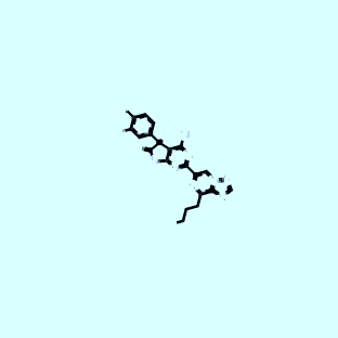 CC1(c2ccc(Cl)c(O)c2)C(=O)Nc2nc(-c3cn4ncnc4c(CCCC(F)(F)F)n3)nc(N)c21